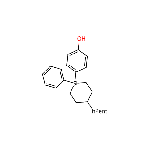 CCCCCC1CC[Si](c2ccccc2)(c2ccc(O)cc2)CC1